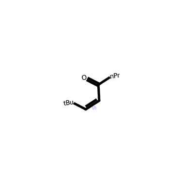 CCCC(=O)/C=C\C(C)(C)C